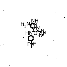 CNc1nc(N(C)Cc2nncn2C)c(C(=O)NC2CCC(C(F)(F)F)CC2)cc1N